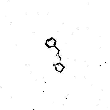 c1ccc(COC[C@@H]2CCCN2)cc1